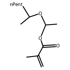 C=C(C)C(=O)OC(C)OC(C)CCCCC